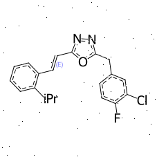 CC(C)c1ccccc1/C=C/c1nnc(Cc2ccc(F)c(Cl)c2)o1